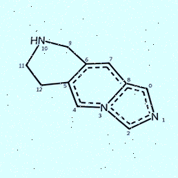 c1ncn2cc3c(cc12)CNCC3